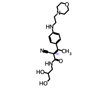 C/C(=C(/C#N)C(=O)NCC(O)CO)c1ccc(NCCN2CCOCC2)cc1